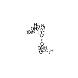 CC(C)(C)OC(=O)NNC(=O)c1cc(-c2ccc(C#Cc3ccc(NC(=O)N4CCCCC4C(=O)O)cc3)cc2)nc2ccncc12